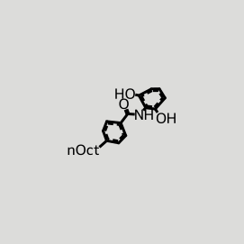 CCCCCCCCc1ccc(C(=O)Nc2c(O)cccc2O)cc1